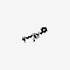 COC(=O)[C@H](CCCCNC(C)=S)NC(=O)OCc1ccccc1